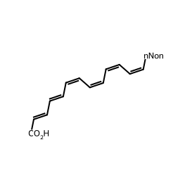 CCCCCCCCC\C=C/C=C\C=C/C=C\C=C\C=CC(=O)O